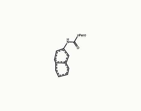 [CH2]CCC[CH]C(=O)Nc1ccc2ccccc2c1